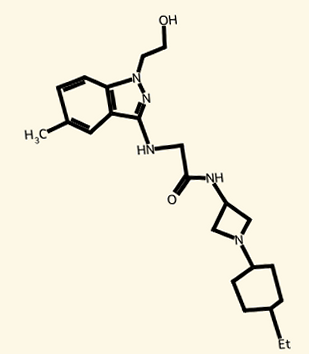 CCC1CCC(N2CC(NC(=O)CNc3nn(CCO)c4ccc(C)cc34)C2)CC1